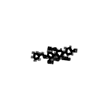 COc1cc(-c2ccc(Cl)cc2)c(OC)c(O)c1-c1ccc(OCc2ccccc2)c(O)c1